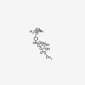 C=CCOC(=O)C1OC(OC(=O)Nc2ccc(CO[Si](C)(C)C(C)(C)C)cc2)C(O)C(O)C1O